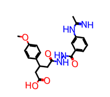 COc1ccc(C(CC(=O)O)CC(=O)NNC(=O)c2cccc(NC(C)=N)c2)cc1